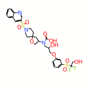 O=C(O)N(CC(O)COc1cccc(S(=O)(=O)C(F)(F)CO)c1)C1COC2(CCN(S(=O)(=O)c3cnc4ccccc4c3)CC2)C1